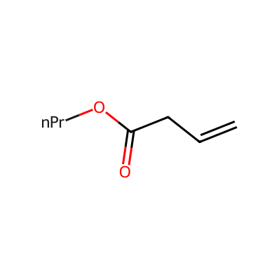 C=CCC(=O)OCCC